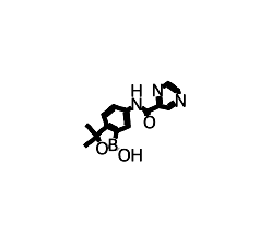 CC1(C)OB(O)c2cc(NC(=O)c3cnccn3)ccc21